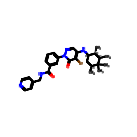 C[C@@H]1[C@@H](C)C(C)(C)[C@@H](C)C[C@H]1Nc1cnn(-c2cccc(C(=O)NCc3ccncc3)c2)c(=O)c1Br